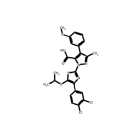 COc1cccc(-c2c(C)nn(-c3nc(-c4ccc(Cl)c(Cl)c4)c(SC(C)C)s3)c2C(=O)O)c1